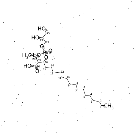 CCCCCCCCCCCCCCCCC(OP(=O)(O)OCC(O)CO)[C@H](CC)C(=O)O